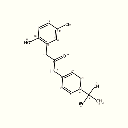 CC(C)C(C)(C#N)N1C=CC(NC(=O)Cc2cc(Cl)ccc2O)=CC1